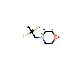 [CH2]C(F)(F)CN1CCOCC1